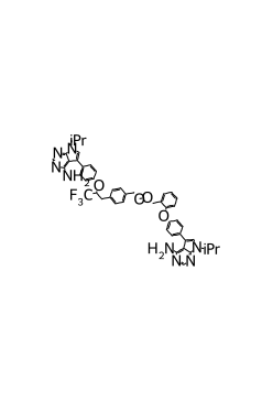 CC(C)n1cc(-c2ccc(Oc3ccccc3COOCc3ccc(CC(Oc4ccc(-c5cn(C(C)C)c6ncnc(N)c56)cc4)C(F)(F)F)cc3)cc2)c2c(N)ncnc21